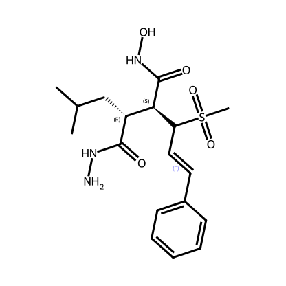 CC(C)C[C@@H](C(=O)NN)[C@@H](C(=O)NO)C(/C=C/c1ccccc1)S(C)(=O)=O